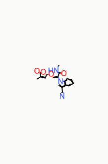 CNC(=O)C(=COC1C=C(C)C(=O)O1)n1cc(C#N)c2ccccc21